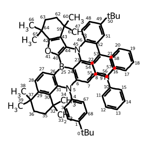 CC(C)(C)c1ccc(N2c3cc(N(c4ccccc4)c4ccccc4)cc4c3B(c3ccc5c(c32)C(C)(C)CCC5(C)C)c2oc3c(c2N4c2ccc(C(C)(C)C)cc2-c2ccccc2)C(C)(C)CCC3(C)C)cc1